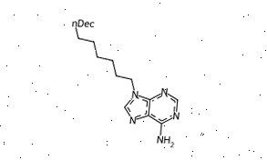 [CH2]CCCCCCCCCCCCCCCn1cnc2c(N)ncnc21